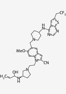 C=CC(O)N[C@@H]1CCN(CCn2c(C#N)cc3cc(CN4CCC(Nc5ncnc6sc(CC(F)(F)F)cc56)CC4)c(OC)cc32)C1